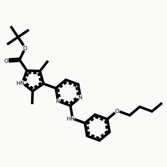 CCCCOc1cccc(Nc2nccc(-c3c(C)[nH]c(C(=O)OC(C)(C)C)c3C)n2)c1